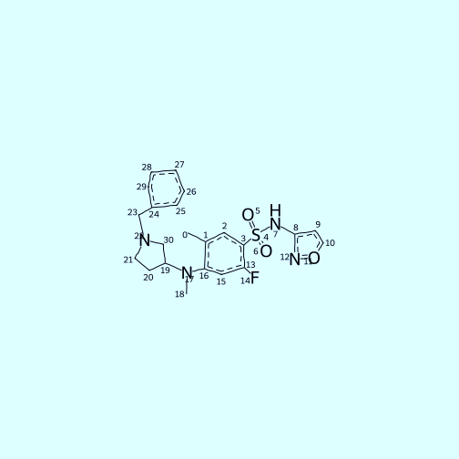 Cc1cc(S(=O)(=O)Nc2ccon2)c(F)cc1N(C)C1CCN(Cc2ccccc2)C1